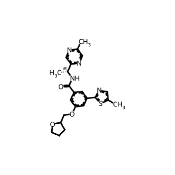 Cc1cnc([C@@H](C)NC(=O)c2cc(OCC3CCCO3)cc(-c3ncc(C)s3)c2)cn1